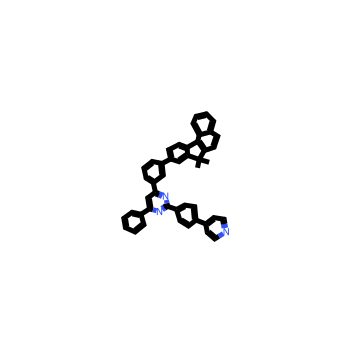 CC1(C)c2cc(-c3cccc(-c4cc(-c5ccccc5)nc(-c5ccc(-c6ccncc6)cc5)n4)c3)ccc2-c2c1ccc1ccccc21